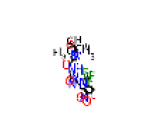 COCC(C)(C)n1cc(C(=O)NCc2nc(-c3cc4c([N+](=O)[O-])cccc4n3CC(F)(F)F)no2)cn1